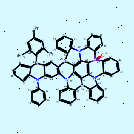 CC(C)c1cc(C(C)C)c(B2c3ccccc3N(c3ccccc3)c3cc4c(cc32)B2c3ccccc3N3c5ccccc5P5(=O)c6ccccc6N6c7ccccc7B7c8ccccc8N4c4c7c6c5c3c42)c(C(C)C)c1